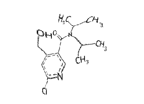 CC(C)N(C(=O)c1cnc(Cl)cc1CO)C(C)C